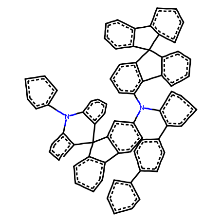 c1ccc(-c2ccc(-c3ccccc3N(c3ccc4c(c3)C3(c5ccccc5-4)c4ccccc4N(c4ccccc4)c4ccccc43)c3cccc4c3-c3ccccc3C43c4ccccc4-c4ccccc43)cc2)cc1